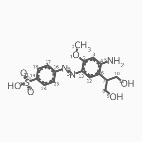 COc1cc(N)c(C(CO)CO)cc1N=Nc1ccc(S(=O)(=O)O)cc1